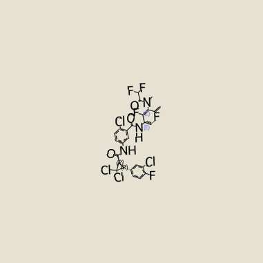 C=C(F)/C(=C(F)\C(=C/C)NC(=O)c1cc(NC(=O)[C@H]2[C@H](c3ccc(F)c(Cl)c3)C2(Cl)Cl)ccc1Cl)N(C)C(=O)C(F)F